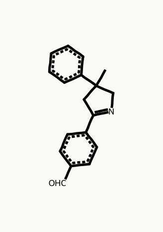 CC1(c2ccccc2)CN=C(c2ccc(C=O)cc2)C1